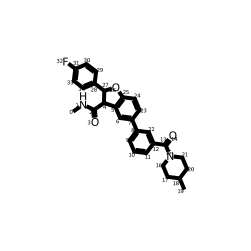 CNC(=O)C1c2cc(-c3cccc(C(=O)N4CCC(C)CC4)c3)ccc2OC1c1ccc(F)cc1